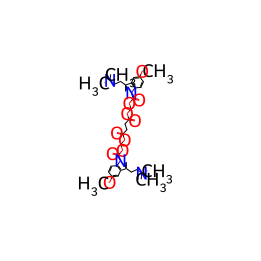 COc1ccc2c(c1)c(CCN(C)C)cn2C(=O)OCOC(=O)CCC(=O)OCOC(=O)n1cc(CCN(C)C)c2cc(OC)ccc21